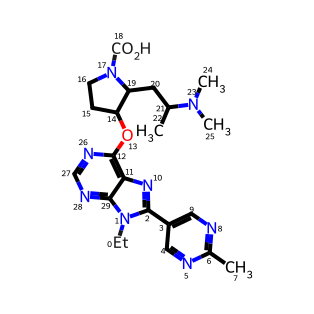 CCn1c(-c2cnc(C)nc2)nc2c(OC3CCN(C(=O)O)C3CC(C)N(C)C)ncnc21